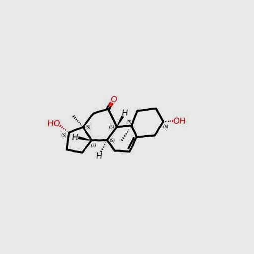 C[C@]12CC(=O)[C@H]3[C@@H](CC=C4C[C@@H](O)CC[C@@]43C)[C@@H]1CC[C@@H]2O